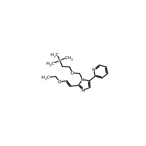 CCOC=Cc1ncc(-c2ccccn2)n1COCC[Si](C)(C)C